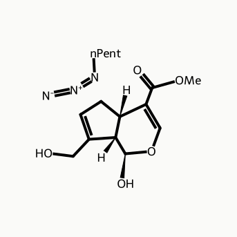 CCCCCN=[N+]=[N-].COC(=O)C1=CO[C@@H](O)[C@@H]2C(CO)=CC[C@H]12